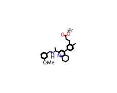 COc1cccc(CNC(C)c2cc(-c3ccc(C)c(CCC(=O)OC(C)C)c3)c3c(n2)CCCC3)c1